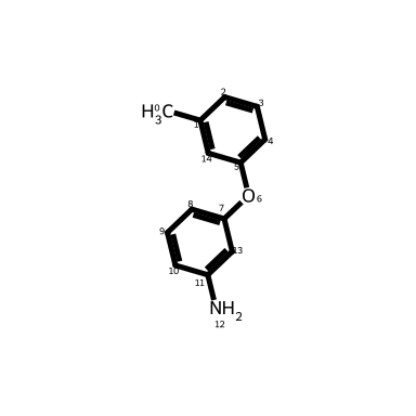 Cc1cccc(Oc2cccc(N)c2)c1